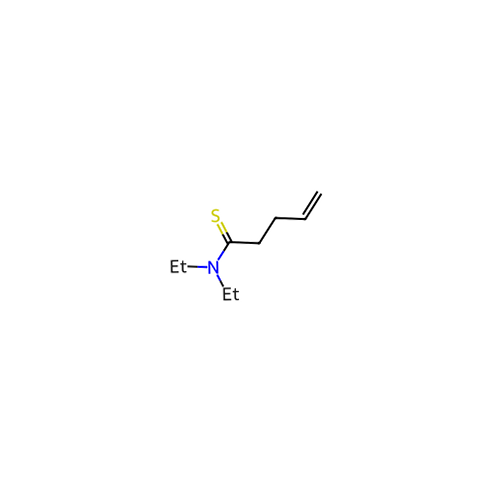 C=CCCC(=S)N(CC)CC